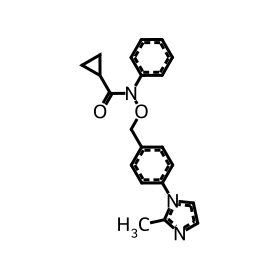 Cc1nccn1-c1ccc(CON(C(=O)C2CC2)c2ccccc2)cc1